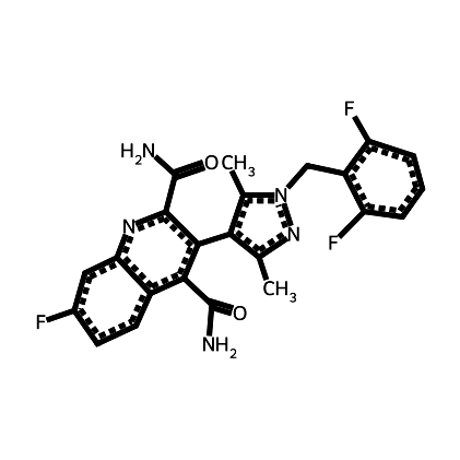 Cc1nn(Cc2c(F)cccc2F)c(C)c1-c1c(C(N)=O)nc2cc(F)ccc2c1C(N)=O